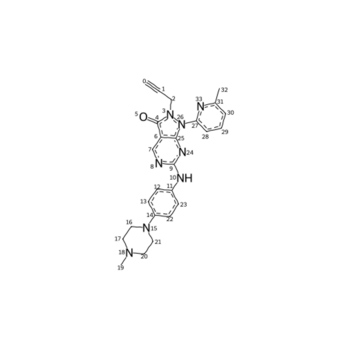 C#CCn1c(=O)c2cnc(Nc3ccc(N4CCN(C)CC4)cc3)nc2n1-c1cccc(C)n1